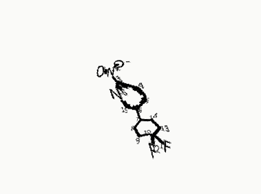 O=[N+]([O-])c1ccc(C2CCC(F)(F)CC2)cn1